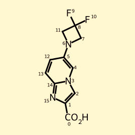 O=C(O)c1cn2cc(N3CC(F)(F)C3)ccc2n1